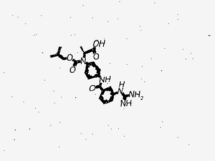 CC(C)COC(=O)N(c1ccc(NC(=O)c2cccc(NC(=N)N)c2)cc1)[C@@H](C)C(=O)O